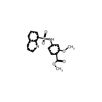 COC(=O)c1ccc(NS(=O)(=O)c2cccc3cccnc23)cc1OC